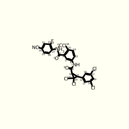 CN(C(=O)c1cc(NC(=O)C2C(c3cc(Cl)cc(Cl)c3)C2(Cl)Cl)ccc1Cl)c1ccc(C#N)cc1F